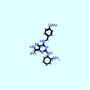 COc1ccc(CNc2nc(NC3CCCCC3N)nc3c(C(C)C)[nH]nc23)cc1